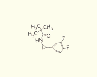 CC(C)(C)C(=O)NC1CC1c1ccc(F)c(F)c1